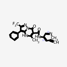 C#C/C=C(\C=N/C)NC(=O)c1c(C)[nH]c2c(-c3ccccc3)c(C(F)(F)F)nn2c1=O